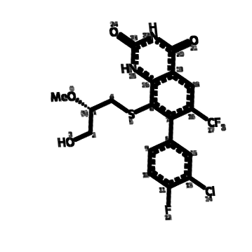 CO[C@@H](CO)CSc1c(-c2ccc(F)c(Cl)c2)c(C(F)(F)F)cc2c(=O)[nH]c(=O)[nH]c12